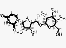 O=c1ccn([C@@H]2O[C@H]([C@H](F)O[C@@H]3O[C@H](CO)[C@H](O)[C@H](O)[C@H]3O)[C@@H](O)[C@H]2O)c(=O)[nH]1